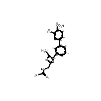 Cc1nc(CNC(=O)C(C)(C)C)sc1-c1cccc(-c2ccc(C(=O)O)c(O)c2)c1